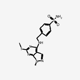 CSc1nc(NCc2ccc(S(N)(=O)=O)cc2)c2cnn(C)c2n1